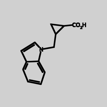 O=C(O)C1CC1Cn1ccc2ccccc21